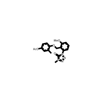 COc1cccc(-n2nnn(C)c2=O)c1COc1ccc(OC(C)=O)cc1C